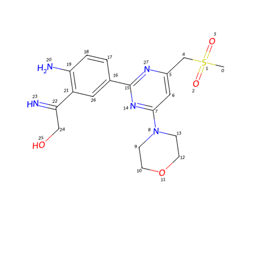 CS(=O)(=O)Cc1cc(N2CCOCC2)nc(-c2ccc(N)c(C(=N)CO)c2)n1